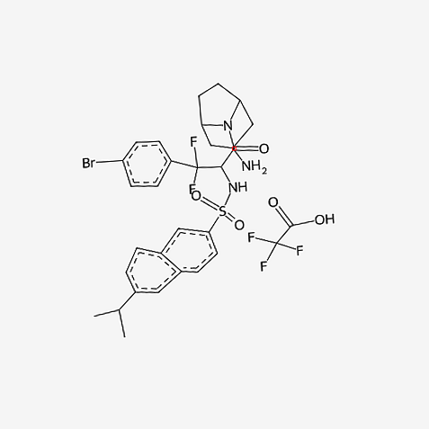 CC(C)c1ccc2cc(S(=O)(=O)NC(C(=O)N3C4CCC3CC(N)C4)C(F)(F)c3ccc(Br)cc3)ccc2c1.O=C(O)C(F)(F)F